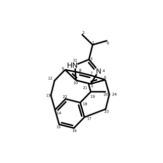 CC(C)c1nc2c3ccc(c2[nH]1)CCc1ccc(c(C(C)C)c1)CC3